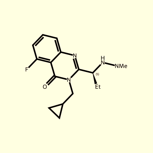 CC[C@H](NNC)c1nc2cccc(F)c2c(=O)n1CC1CC1